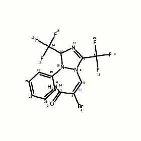 NC(=O)/C(Br)=C\N1C(C(F)(F)F)=NC(C(F)(F)F)N1c1ccccc1